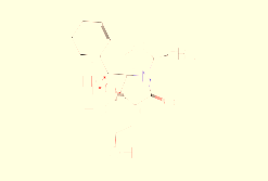 CC(C)(C)[C@@H]1OC[C@]2([C@@H](O)[C@@H]3C=CCCC3)N1C(=O)[C@H](CCO)[C@]2(C)O